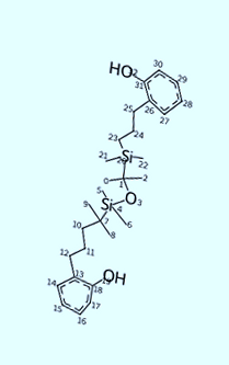 CC(C)(O[Si](C)(C)C(C)(C)CCCc1ccccc1O)[Si](C)(C)CCCc1ccccc1O